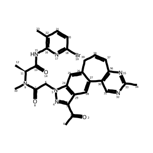 CC(=O)c1nn(CC(=O)N(C)[C@@H](C)C(=O)Nc2nc(Br)ccc2C)c2cc3c(cc12)-c1cnc(C)nc1C=CC3